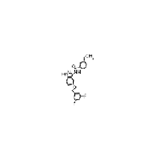 CCc1cccc(C(=O)Nc2n[nH]c3ccc(OCc4cc(F)cc(F)c4)cc23)c1